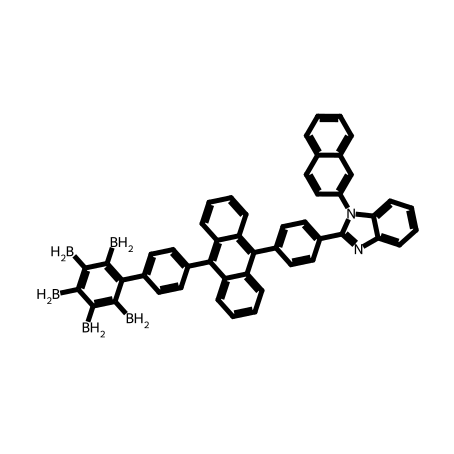 Bc1c(B)c(B)c(-c2ccc(-c3c4ccccc4c(-c4ccc(-c5nc6ccccc6n5-c5ccc6ccccc6c5)cc4)c4ccccc34)cc2)c(B)c1B